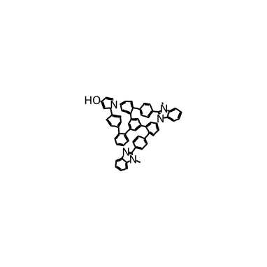 Cn1c(-c2ccc(-c3ccccc3-c3cc(-c4ccccc4-c4ccc(-c5cc(O)ccn5)cc4)cc(-c4ccccc4-c4ccc(-c5nc6ccccc6n5C)cc4)c3)cc2)nc2ccccc21